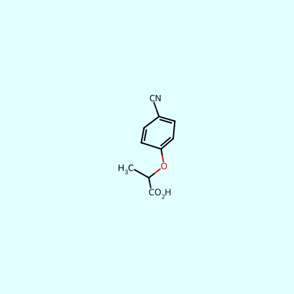 CC(Oc1ccc(C#N)cc1)C(=O)O